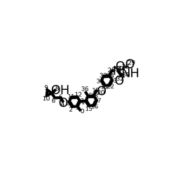 Cc1cc(OCCC2(O)CC2)ccc1-c1cccc(COc2ccc(Cn3oc(=O)[nH]c3=O)cc2)c1C